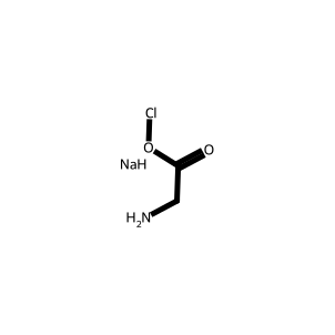 NCC(=O)OCl.[NaH]